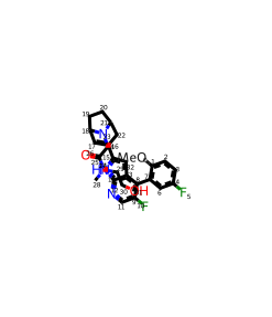 COc1ccc(F)cc1-c1c(F)cnc2[nH]c(C3=CC4CCC(C3)N4CC(=O)N(C)CCO)cc12